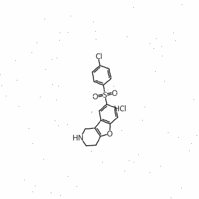 Cl.O=S(=O)(c1ccc(Cl)cc1)c1ccc2oc3c(c2c1)CNCC3